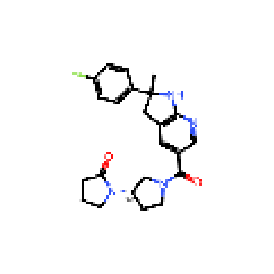 CC1(c2ccc(F)cc2)Cc2cc(C(=O)N3CC[C@H](N4CCCC4=O)C3)cnc2N1